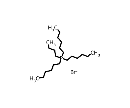 CCCCCC[P+](CCCC)(CCCCCC)CCCCCC.[Br-]